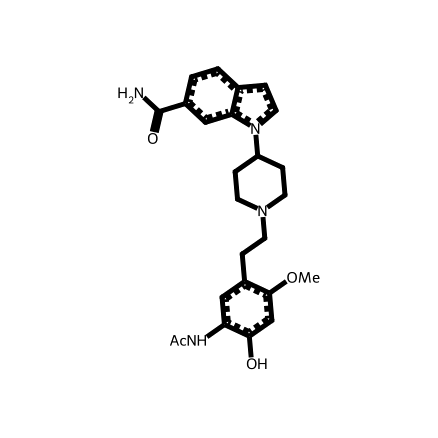 COc1cc(O)c(NC(C)=O)cc1CCN1CCC(n2ccc3ccc(C(N)=O)cc32)CC1